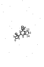 Brc1cc(-c2cccs2)cc2c1C=CC2